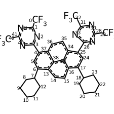 FC(F)(F)c1nc(-c2cc(C3CCCCC3)c3ccc4c(C5CCCCC5)cc(-c5nc(C(F)(F)F)nc(C(F)(F)F)n5)c5ccc2c3c54)nc(C(F)(F)F)n1